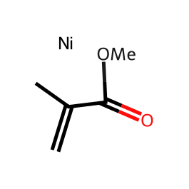 C=C(C)C(=O)OC.[Ni]